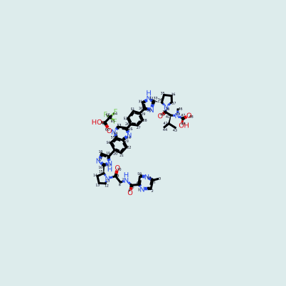 Cc1cnc(C(=O)NCC(=O)N2CCC[C@H]2c2ncc(-c3ccc4nc(-c5ccc(-c6c[nH]c([C@@H]7CCCN7C(=O)[C@H](C(C)C)N(C)C(=O)O)n6)cc5)cnc4c3)[nH]2)cn1.O=C(O)C(F)(F)F